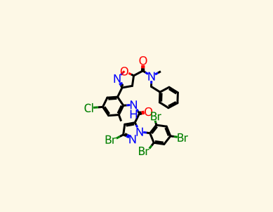 Cc1cc(Cl)cc(C2=NOC(C(=O)N(C)Cc3ccccc3)C2)c1NC(=O)c1cc(Br)nn1-c1c(Br)cc(Br)cc1Br